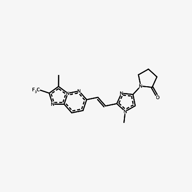 Cc1c(C(F)(F)F)nc2ccc(/C=C/c3nc(N4CCCC4=O)cn3C)nn12